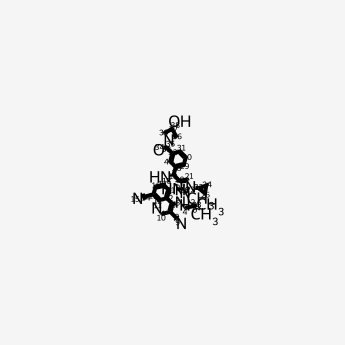 CC(C)(C)CNc1c(C#N)cnc2c(C#N)cc(N[C@H](C3=CN(C4CC4)NN3)c3cccc(C(=O)N4CC(O)C4)c3)cc12